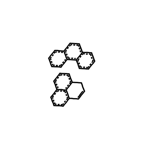 C1=Cc2cccc3cccc(c23)C1.c1ccc2c(c1)ccc1ccccc12